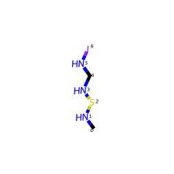 CNSNCNI